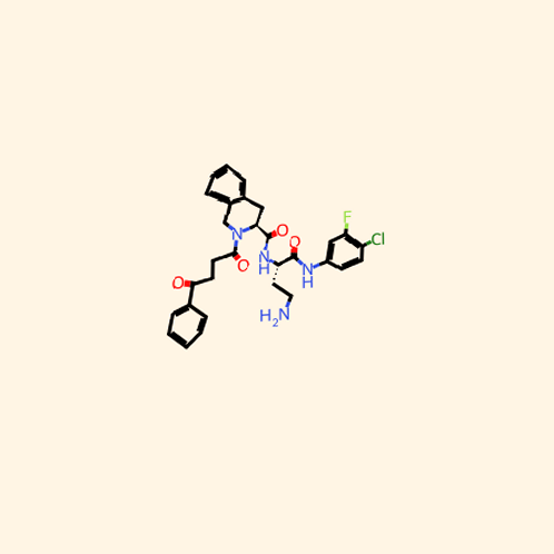 NCC[C@H](NC(=O)[C@@H]1Cc2ccccc2CN1C(=O)CCC(=O)c1ccccc1)C(=O)Nc1ccc(Cl)c(F)c1